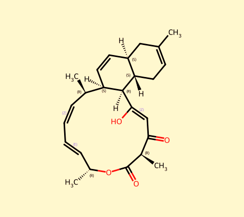 CC1=CC[C@@H]2[C@H]3/C(O)=C/C(=O)[C@@H](C)C(=O)O[C@H](C)/C=C/C=C\[C@@H](C)[C@H]3C=C[C@H]2C1